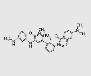 CNc1cccc(Nc2cc(-c3cccc(-n4ccc5cc(N(C)C)ccc5c4=O)c3CO)cn(C)c2=O)n1